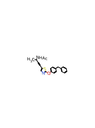 CC(=O)NC(C)C#Cc1cnc(Oc2ccc(Cc3ccccc3)cc2)s1